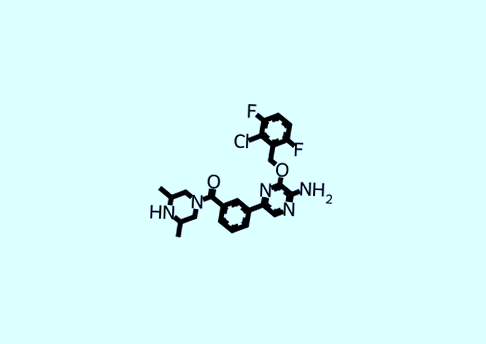 CC1CN(C(=O)c2cccc(-c3cnc(N)c(OCc4c(F)ccc(F)c4Cl)n3)c2)CC(C)N1